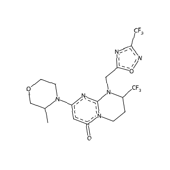 CC1COCCN1c1cc(=O)n2c(n1)N(Cc1nc(C(F)(F)F)no1)C(C(F)(F)F)CC2